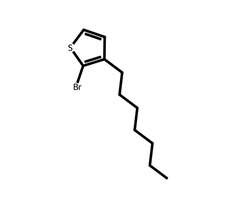 CCCCCCCc1ccsc1Br